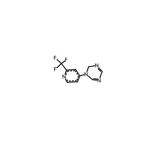 FC(F)(F)c1cc(N2C=NC=NC2)ccn1